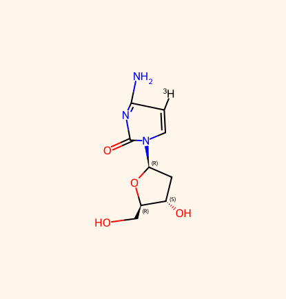 [3H]c1cn([C@H]2C[C@H](O)[C@@H](CO)O2)c(=O)nc1N